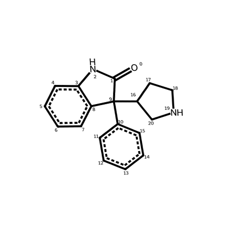 O=C1Nc2ccccc2C1(c1ccccc1)C1CCNC1